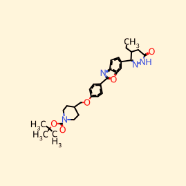 CCC1CC(=O)NN=C1c1ccc2nc(-c3ccc(OCC4CCN(C(=O)OC(C)(C)C)CC4)cc3)oc2c1